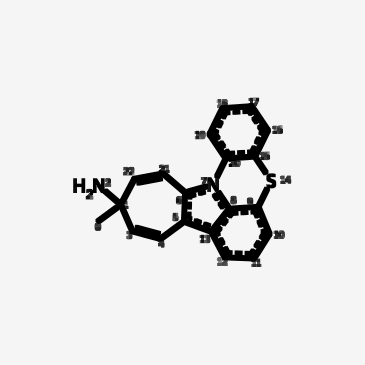 CC1(N)C=Cc2c(n3c4c(cccc24)Sc2ccccc2-3)C=C1